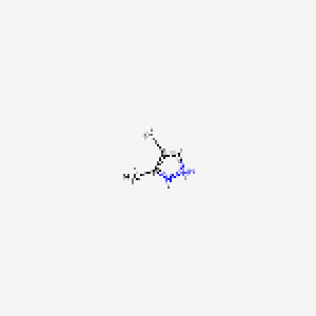 Cc1n[nH]cc1C(C)C